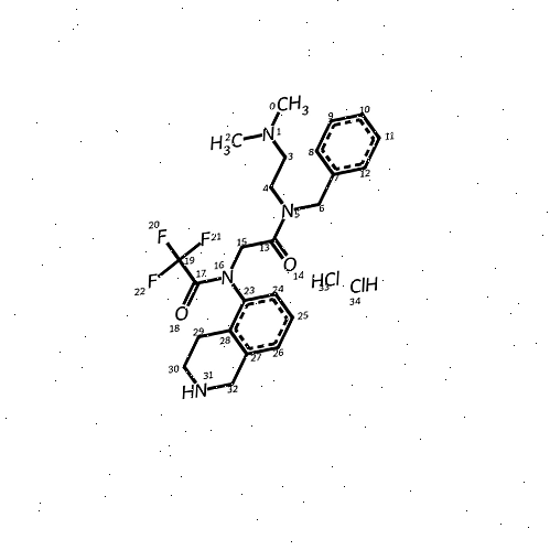 CN(C)CCN(Cc1ccccc1)C(=O)CN(C(=O)C(F)(F)F)c1cccc2c1CCNC2.Cl.Cl